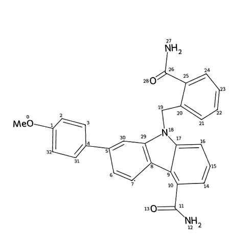 COc1ccc(-c2c[c]c3c4c(C(N)=O)cccc4n(Cc4ccccc4C(N)=O)c3c2)cc1